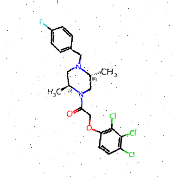 C[C@@H]1CN(C(=O)COc2ccc(Cl)c(Cl)c2Cl)[C@@H](C)CN1Cc1ccc(F)cc1